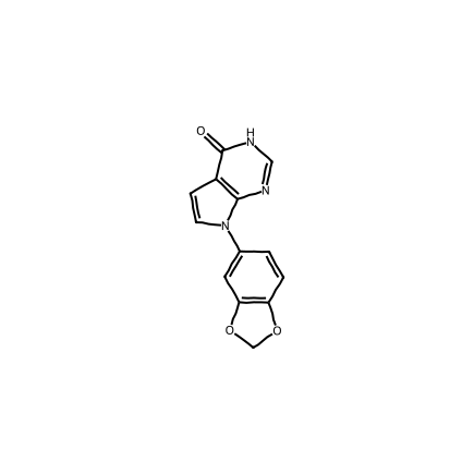 O=c1[nH]cnc2c1ccn2-c1ccc2c(c1)OCO2